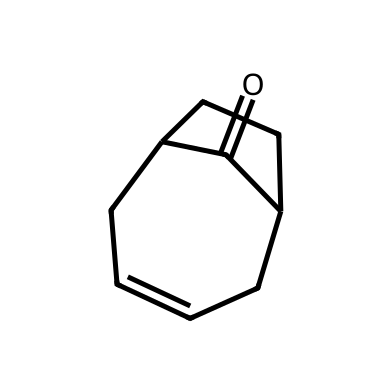 O=C1C2CC=CCC1CC2